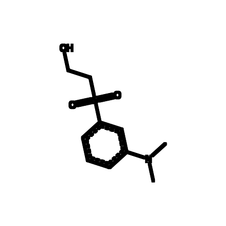 CN(C)c1cccc(S(=O)(=O)CCO)c1